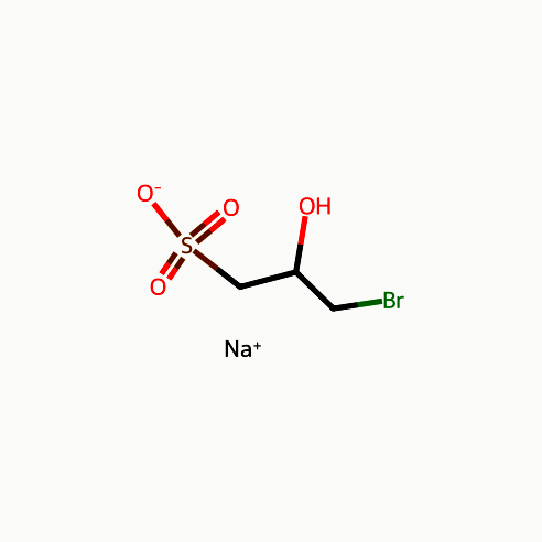 O=S(=O)([O-])CC(O)CBr.[Na+]